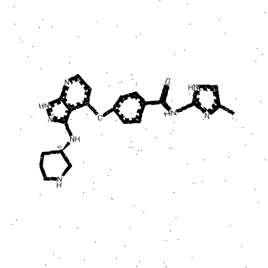 Cc1c[nH]c(NC(=O)c2ccc(Oc3ccnc4[nH]nc(N[C@@H]5CCCNC5)c34)cc2)n1